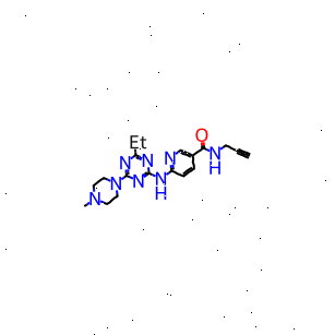 C#CCNC(=O)c1ccc(Nc2nc(CC)nc(N3CCN(C)CC3)n2)nc1